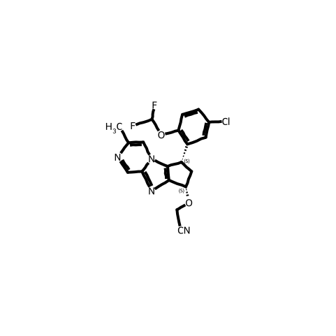 Cc1cn2c3c(nc2cn1)[C@@H](OCC#N)C[C@H]3c1cc(Cl)ccc1OC(F)F